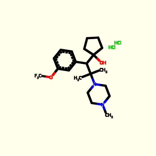 CN1CCN(C(C)(C)C(c2cccc(OC(F)(F)F)c2)C2(O)CCCC2)CC1.Cl.Cl